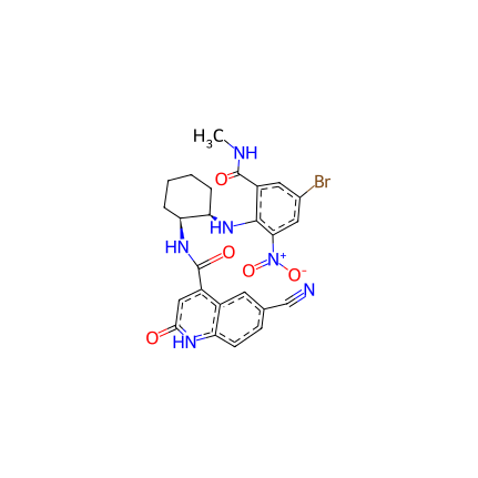 CNC(=O)c1cc(Br)cc([N+](=O)[O-])c1N[C@@H]1CCCC[C@@H]1NC(=O)c1cc(=O)[nH]c2ccc(C#N)cc12